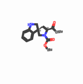 COC(=O)[C@@H]1C[C@]2(CNc3ccccc32)CN1C(=O)OC(C)(C)C